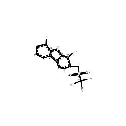 O=S(=O)(Cc1ccc2c(sc3c(F)cccc32)c1F)C(F)(F)F